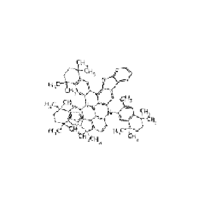 Cc1cc2c(cc1N1c3ccc4c(c3B3c5c1cc1c(sc6ccccc61)c5-c1cc5c(cc1N3c1ccc3c(c1)C(C)(C)CCC3(C)C)C(C)(C)CCC5(C)C)-c1ccccc1C4(C)C)C(C)(C)CCC2(C)C